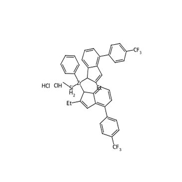 CCC1=Cc2c(-c3ccc(C(F)(F)F)cc3)cccc2[CH]1[Zr]([SiH2]C)([c]1ccccc1)[CH]1C(CC)=Cc2c(-c3ccc(C(F)(F)F)cc3)cccc21.Cl.Cl